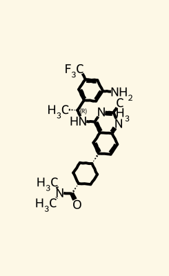 Cc1nc(N[C@H](C)c2cc(N)cc(C(F)(F)F)c2)c2cc([C@H]3CC[C@@H](C(=O)N(C)C)CC3)ccc2n1